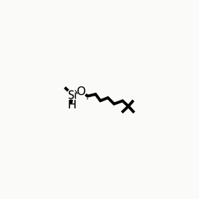 C[SiH](C)O[CH]CCCCCC(C)(C)C